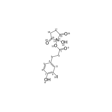 O=C(CCc1ccc(O)c(I)c1)O[N+]1(O)C(=O)CCC1=O